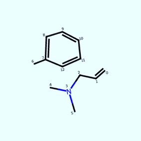 C=CCN(C)C.Cc1ccccc1